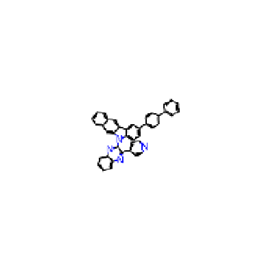 c1ccc(-c2ccc(-c3ccc4c(c3)c3cc5ccccc5cc3n4-c3nc4ccccc4nc3-c3ccncc3)cc2)cc1